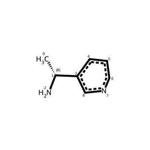 C[C@@H](N)c1cccnc1